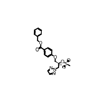 CS(=O)(=O)O[C@H](COc1ccc(C(=O)OCc2ccccc2)cc1)Cn1nccn1